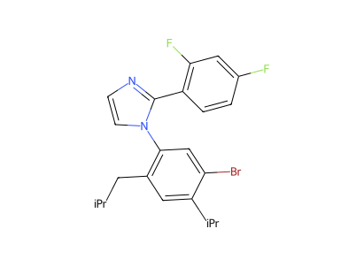 CC(C)Cc1cc(C(C)C)c(Br)cc1-n1ccnc1-c1ccc(F)cc1F